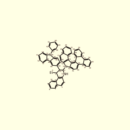 CCC1c2c(ccc3ccccc23)NC(n2c3ccc4ccccc4c3c3c4c5ccccc5c5ccccc5c4ccc32)C1c1ccc2c(c1)c1ccccc1n2-c1ccccc1